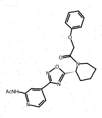 CC(=O)Nc1cc(-c2noc([C@H]3CCCCN3C(=O)COc3ccccc3)n2)ccn1